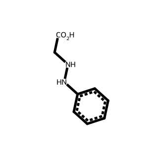 O=C(O)CNNc1ccccc1